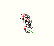 [2H]c1c([2H])c(C(=O)c2c([2H])c([2H])c(OC(C(=O)OC(C)CC)(C([2H])([2H])[2H])C([2H])([2H])C)c([2H])c2C)c([2H])c(C)c1Cl